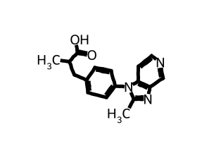 Cc1nc2cnccc2n1-c1ccc(CC(C)C(=O)O)cc1